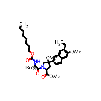 C=CCCCCCCOC(=O)N[C@H](C(=O)N1CC(OC)(c2ccc3cc(OC)c(C=C)cc3c2)CC1C(=O)OC)C(C)(C)C